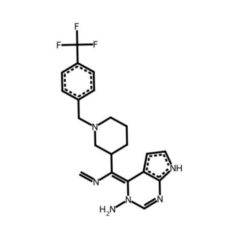 C=N/C(=C1/c2cc[nH]c2N=CN1N)C1CCCN(Cc2ccc(C(F)(F)F)cc2)C1